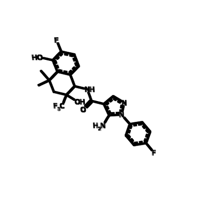 CC1(C)CC(O)(C(F)(F)F)C(NC(=O)c2cnn(-c3ccc(F)cc3)c2N)c2ccc(F)c(O)c21